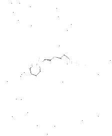 CCCCCCCCCCCC[SiH]1CCCCO1